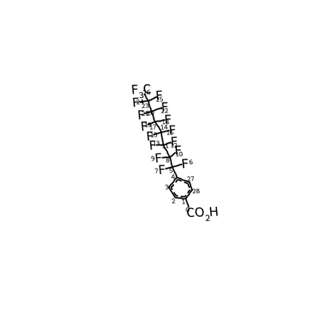 O=C(O)c1ccc(C(F)(F)C(F)(F)C(F)(F)C(F)(F)C(F)(F)C(F)(F)C(F)(F)C(F)(F)F)cc1